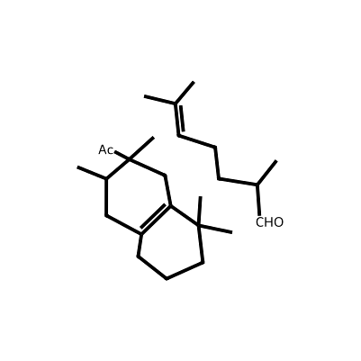 CC(=O)C1(C)CC2=C(CCCC2(C)C)CC1C.CC(C)=CCCC(C)C=O